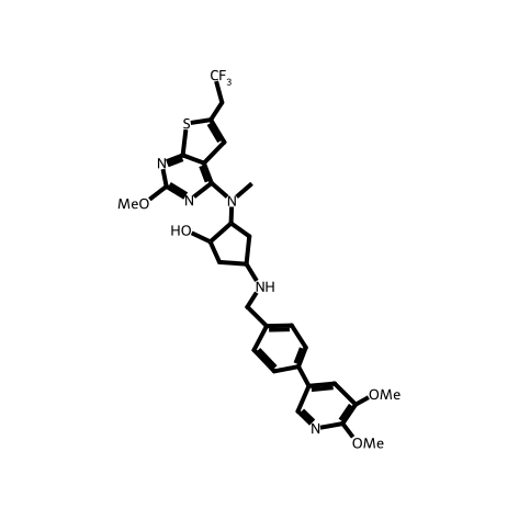 COc1nc(N(C)C2CC(NCc3ccc(-c4cnc(OC)c(OC)c4)cc3)CC2O)c2cc(CC(F)(F)F)sc2n1